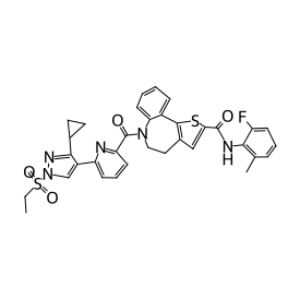 CCS(=O)(=O)n1cc(-c2cccc(C(=O)N3CCc4cc(C(=O)Nc5c(C)cccc5F)sc4-c4ccccc43)n2)c(C2CC2)n1